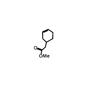 COC(=O)CC1CC=CCC1